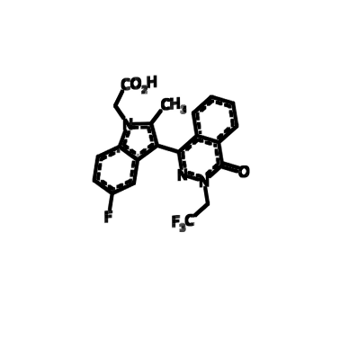 Cc1c(-c2nn(CC(F)(F)F)c(=O)c3ccccc23)c2cc(F)ccc2n1CC(=O)O